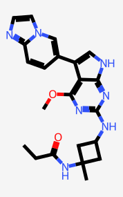 CCC(=O)NC1(C)CC(Nc2nc(OC)c3c(-c4ccc5nccn5c4)c[nH]c3n2)C1